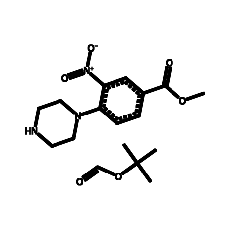 CC(C)(C)OC=O.COC(=O)c1ccc(N2CCNCC2)c([N+](=O)[O-])c1